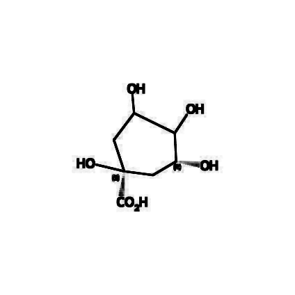 O=C(O)[C@]1(O)CC(O)C(O)[C@H](O)C1